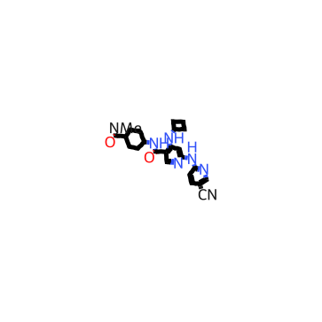 CNC(=O)C1CCC(NC(=O)c2cnc(Nc3ccc(C#N)cn3)cc2NC2CCC2)CC1